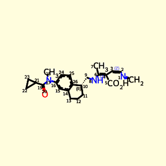 C=N/C=C\C(C(=O)O)=C(/C)NC[C@@H]1CCCc2cc(N(C)C(=O)C3CC3)ccc21